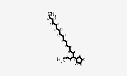 C=CCC(CCCCCCCCCCCCCCC)C1CCCC1